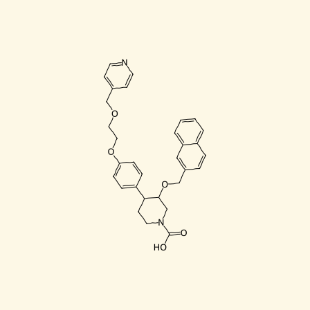 O=C(O)N1CCC(c2ccc(OCCOCc3ccncc3)cc2)C(OCc2ccc3ccccc3c2)C1